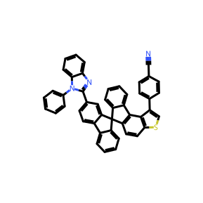 N#Cc1ccc(-c2csc3ccc4c(c23)-c2ccccc2C42c3ccccc3-c3ccc(-c4nc5ccccc5n4-c4ccccc4)cc32)cc1